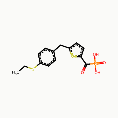 CCSc1ccc(Cc2ccc(C(=O)P(=O)(O)O)s2)cc1